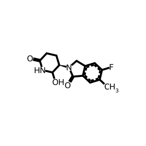 Cc1cc2c(cc1F)CN([C@@H]1CCC(=O)NC1O)C2=O